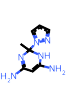 CC1(n2cccn2)N=C(N)C=C(N)N1